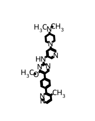 COc1nc(Nc2cncc(N3CCC(N(C)C)CC3)c2)ncc1-c1ccc(-c2nnccc2C)cc1